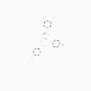 CC1C(c2ccc(C(F)(F)F)cc2)NC2C(Br)=C(c3ccccc3)NN2C1c1ccc(O)cc1